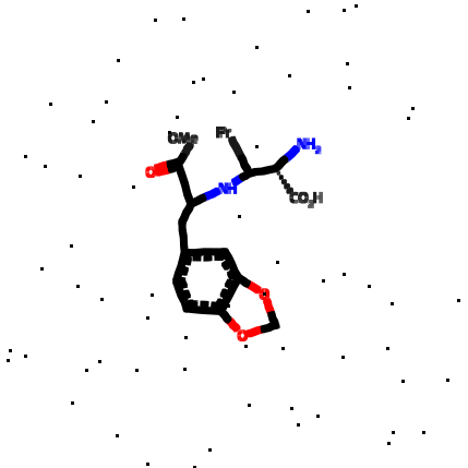 COC(=O)C(Cc1ccc2c(c1)OCO2)NC(C(C)C)[C@H](N)C(=O)O